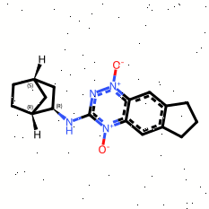 [O-][n+]1nc(N[C@@H]2C[C@H]3CC[C@@H]2C3)[n+]([O-])c2cc3c(cc21)CCC3